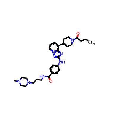 CN1CCN(CCCNC(=O)c2ccc(Nc3nc4c(C5=CCN(C(=O)CCC(F)(F)F)CC5)cccn4n3)cc2)CC1